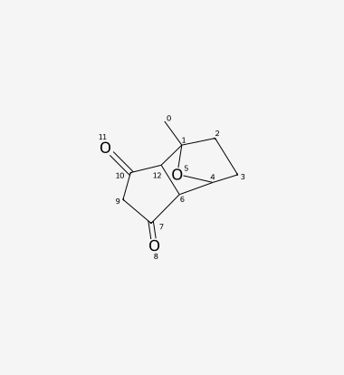 CC12CCC(O1)C1C(=O)CC(=O)C12